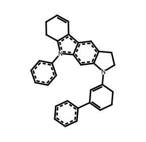 C1=Cc2c(n(-c3ccccc3)c3cc4c(cc23)CCN4C2=CC(c3ccccc3)=CCC2)CC1